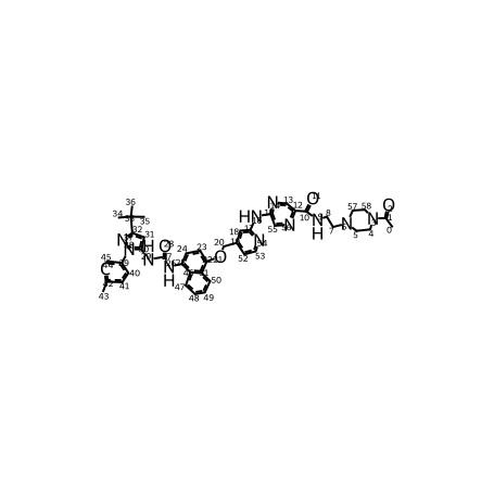 CC(=O)N1CCN(CCNC(=O)c2cnc(Nc3cc(COc4ccc(NC(=O)Nc5cc(C(C)(C)C)nn5-c5ccc(C)cc5)c5ccccc45)ccn3)cn2)CC1